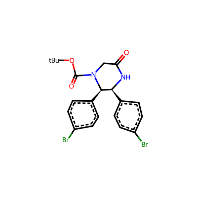 CC(C)(C)OC(=O)N1CC(=O)N[C@@H](c2ccc(Br)cc2)[C@H]1c1ccc(Br)cc1